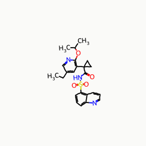 CCc1cnc(OC(C)C)c(C2(C(=O)NS(=O)(=O)c3cccc4ncccc34)CC2)c1